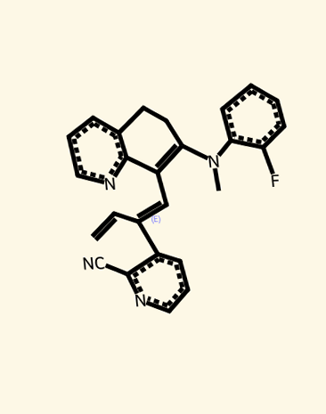 C=C/C(=C\C1=C(N(C)c2ccccc2F)CCc2cccnc21)c1cccnc1C#N